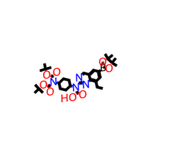 CCc1cc(B2OC(C)(C)C(C)(C)O2)cc2cnc(N(C(=O)O)C3CCC(N(C(=O)OC(C)(C)C)C(=O)OC(C)(C)C)CC3)nc12